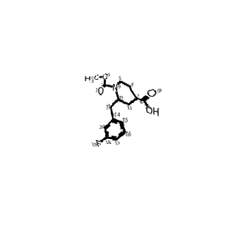 COC(=O)N1CCC(C(=O)O)CC1Cc1cccc(F)c1